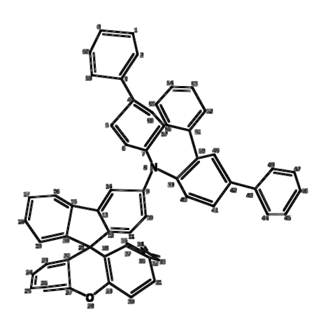 c1ccc(-c2ccc(N(c3ccc4c(c3)-c3ccccc3C43c4ccccc4Oc4ccc5ccccc5c43)c3ccc(-c4ccccc4)cc3-c3ccccc3)cc2)cc1